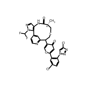 C[C@@H]1CCCC(c2coc(-c3cc(Cl)ccc3-n3cc(Cl)nn3)cc2=O)c2cc(ccn2)-c2c(cnn2C(F)F)NC1=O